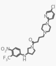 O=C(CCCN1CCN(c2ccc(Cl)cn2)CC1)N1CCC(Nc2ccc([N+](=O)[O-])c(C(F)(F)F)c2)C1